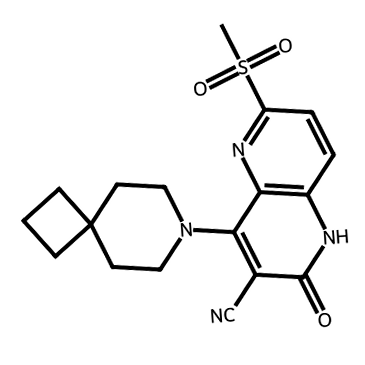 CS(=O)(=O)c1ccc2[nH]c(=O)c(C#N)c(N3CCC4(CCC4)CC3)c2n1